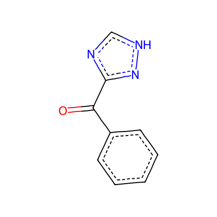 O=C(c1ccccc1)c1nc[nH]n1